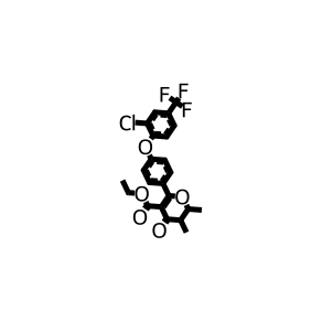 CCOC(=O)C1=C(c2ccc(Oc3ccc(C(F)(F)F)cc3Cl)cc2)OC(C)C(C)C1=O